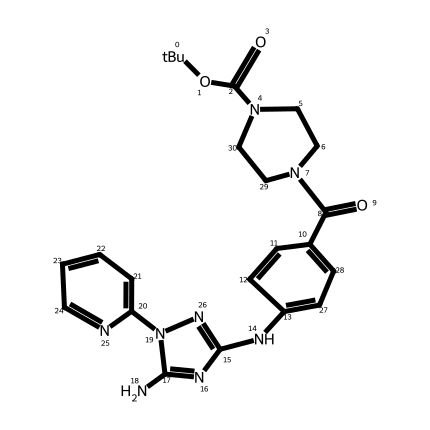 CC(C)(C)OC(=O)N1CCN(C(=O)c2ccc(Nc3nc(N)n(-c4ccccn4)n3)cc2)CC1